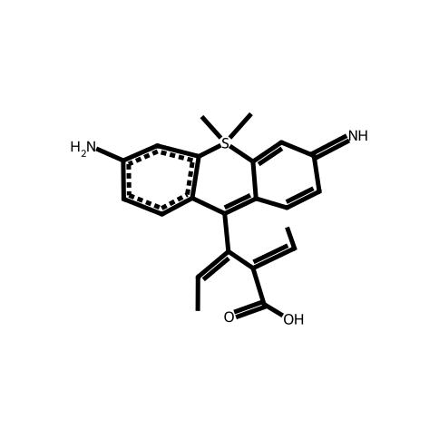 C/C=C(C1=C2C=CC(=N)C=C2S(C)(C)c2cc(N)ccc21)\C(=C/C)C(=O)O